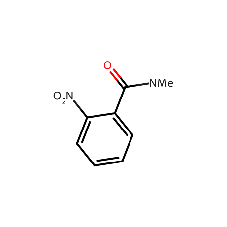 CNC(=O)c1ccccc1[N+](=O)[O-]